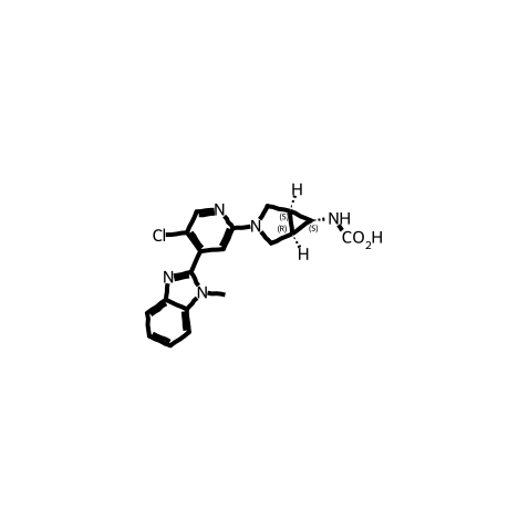 Cn1c(-c2cc(N3C[C@@H]4[C@H](C3)[C@H]4NC(=O)O)ncc2Cl)nc2ccccc21